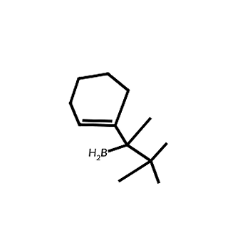 BC(C)(C1=CCCCC1)C(C)(C)C